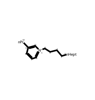 CCCCCCCCCCC[n+]1cccc(CCC)c1